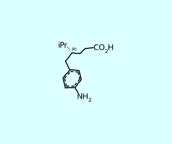 CC(C)[C@H](CCC(=O)O)Cc1ccc(N)cc1